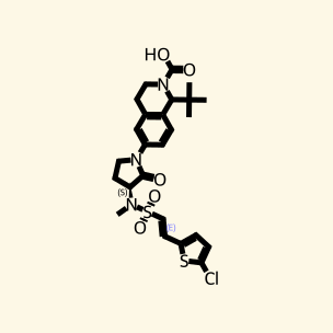 CN([C@H]1CCN(c2ccc3c(c2)CCN(C(=O)O)C3C(C)(C)C)C1=O)S(=O)(=O)/C=C/c1ccc(Cl)s1